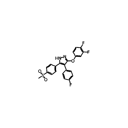 CS(=O)(=O)c1ccc(-c2[nH]nc(Oc3ccc(F)c(F)c3)c2-c2ccc(F)cc2)cc1